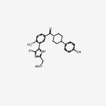 CCc1nc(COC)[nH]c1-c1cc(C(=O)N2CCC(c3ccc(C#N)cc3)CC2)ccc1C